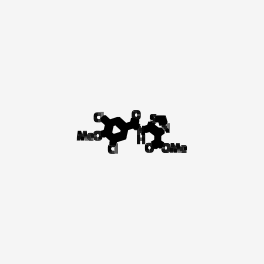 COC(=O)c1ncsc1NC(=O)c1cc(Cl)c(OC)c(Cl)c1